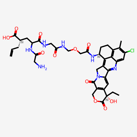 C=CC[C@@H](CC(NC(=O)CN)C(=O)NCC(=O)NCOCC(=O)N[C@H]1CCc2c(C)c(Cl)cc3nc4c(c1c23)Cn1c-4cc2c(c1=O)COC(=O)[C@]2(O)CC)C(=O)O